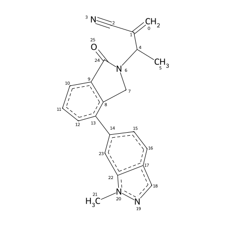 C=C(C#N)C(C)N1Cc2c(cccc2-c2ccc3cnn(C)c3c2)C1=O